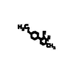 CCCC1CCC(c2ccc(C)c(F)c2F)CC1